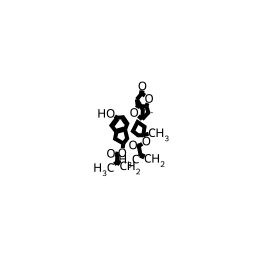 C=C(C)C(=O)OC1(C)CCCC1.C=C(C)C(=O)OC1Cc2ccc(O)cc2C1.O=C1OC2[CH]C3CC1C2O3